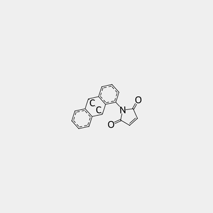 O=C1C=CC(=O)N1c1cccc2c1C1CCC2c2ccccc21